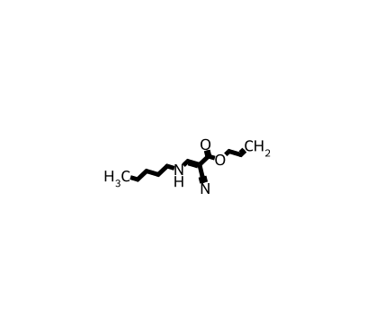 C=CCOC(=O)/C(C#N)=C/NCCCCC